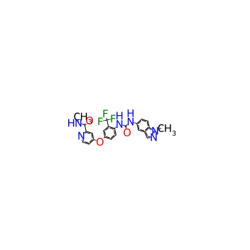 CNC(=O)c1cc(Oc2ccc(NC(=O)Nc3ccc4c(cnn4C)c3)c(C(F)(F)F)c2)ccn1